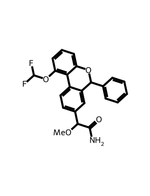 COC(C(N)=O)c1ccc2c(c1)C(c1ccccc1)Oc1cccc(OC(F)F)c1-2